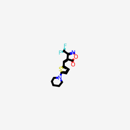 O=C1ON=C(C(F)F)C1=Cc1ccc(N2CCCCC2)s1